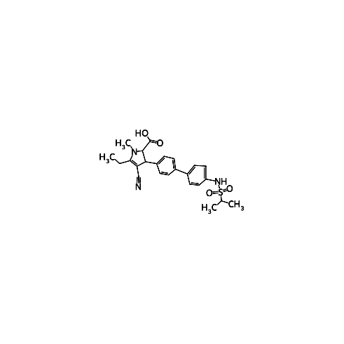 CCC1=C(C#N)C(c2ccc(-c3ccc(NS(=O)(=O)C(C)C)cc3)cc2)C(C(=O)O)N1C